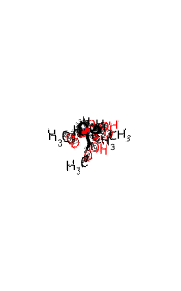 COC[C@H]1[C@@H](O)[C@@H]2C[C@@H]([C@@H]1O)[C@]13/C(C)=C/[C@@H](C)[C@@H]([C@H](O)COC)OC(=O)[C@H](COC)[C@H]1CC[C@H]3O2